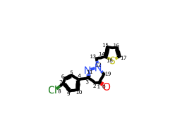 O=C1CC(c2ccc(Cl)cc2)=NN(Cc2cccs2)C1